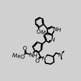 COC(=O)Nc1ccc(-c2cnc3[nH]cc(-c4ccccc4OC)c3c2)cc1C(=O)N1CCCC(CN(C)C)C1